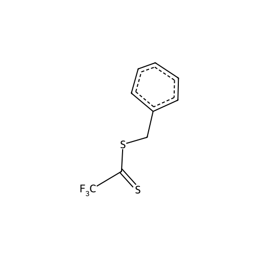 FC(F)(F)C(=S)SCc1ccccc1